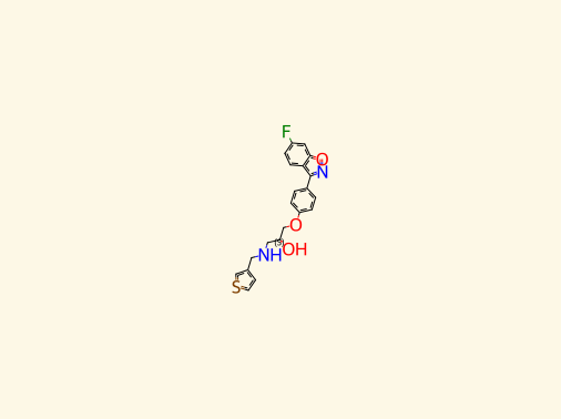 O[C@@H](CNCc1ccsc1)COc1ccc(-c2noc3cc(F)ccc23)cc1